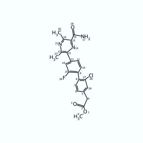 COC(=O)Cc1ccc(-c2ccc(-c3nc(C(N)=O)c(C)nc3C)cc2F)c(Cl)c1